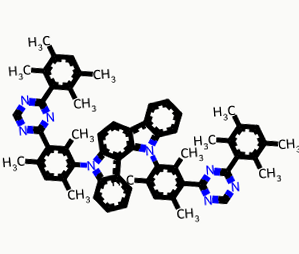 Cc1cc(C)c(C)c(-c2ncnc(-c3c(C)cc(C)c(-n4c5ccccc5c5c4ccc4c6ccccc6n(-c6c(C)cc(C)c(-c7ncnc(-c8c(C)c(C)cc(C)c8C)n7)c6C)c45)c3C)n2)c1C